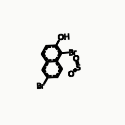 O=S=O.Oc1ccc2cc(Br)ccc2c1Br